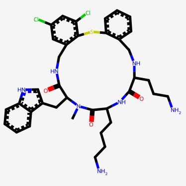 CN1C(=O)C(CCCCN)NC(=O)C(CCCN)NCc2ccccc2Sc2c(Cl)cc(Cl)cc2CNC(=O)C1Cc1c[nH]c2ccccc12